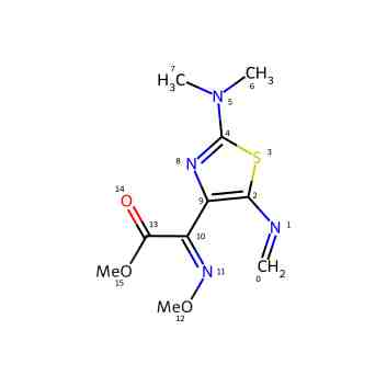 C=Nc1sc(N(C)C)nc1C(=NOC)C(=O)OC